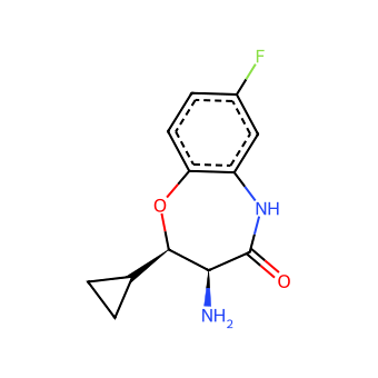 N[C@@H]1C(=O)Nc2cc(F)ccc2O[C@@H]1C1CC1